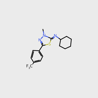 Cn1nc(-c2ccc(C(F)(F)F)cc2)sc1=NC1CCCCC1